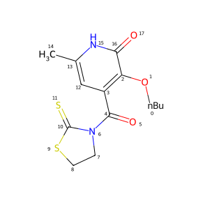 CCCCOc1c(C(=O)N2CCSC2=S)cc(C)[nH]c1=O